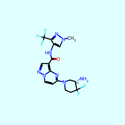 Cn1cc(NC(=O)c2cnn3ccc(N4CCC(F)(F)[C@@H](N)C4)nc23)c(C(F)(F)F)n1